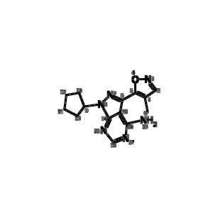 Cc1cnoc1-c1nn(C2CCCC2)c2ncnc(N)c12